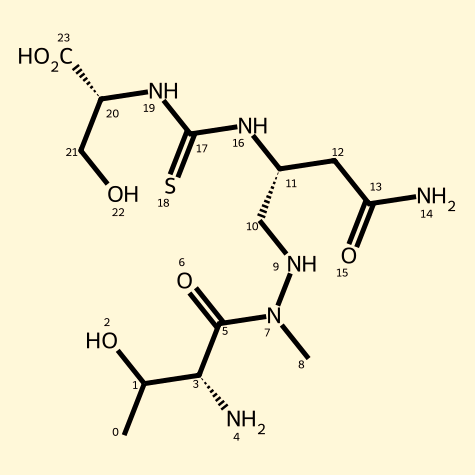 CC(O)[C@@H](N)C(=O)N(C)NC[C@@H](CC(N)=O)NC(=S)N[C@H](CO)C(=O)O